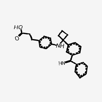 N=C(c1ccccc1)c1cccc(C2(Nc3ccc(CCC(=O)O)cc3)CCC2)c1